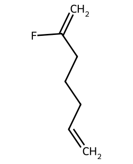 C=CCCCC(=C)F